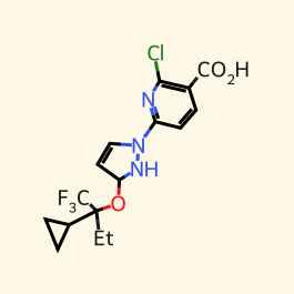 CCC(OC1C=CN(c2ccc(C(=O)O)c(Cl)n2)N1)(C1CC1)C(F)(F)F